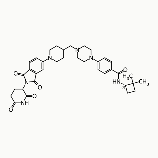 CC1(C)CC[C@@H]1NC(=O)c1ccc(N2CCN(CC3CCN(c4ccc5c(c4)C(=O)N(C4CCC(=O)NC4=O)C5=O)CC3)CC2)cc1